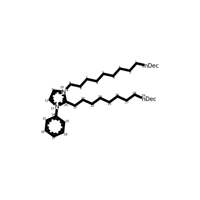 CCCCCCCCCCCCCCCCCCC[n+]1ccn(-c2ccccc2)c1CCCCCCCCCCCCCCCCCC